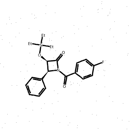 CC[Si](CC)(CC)O[C@H]1C(=O)N(C(=O)c2ccc(F)cc2)[C@H]1c1ccccc1